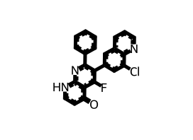 O=c1cc[nH]c2nc(-c3ccccc3)c(-c3cc(Cl)c4ncccc4c3)c(F)c12